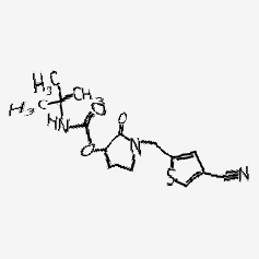 CC(C)(C)NC(=O)OC1CCN(Cc2cc(C#N)cs2)C1=O